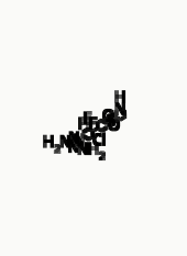 Nc1nc(N)n(-c2cc(Cl)c(-c3ccc(S(=O)(=O)C4CCCNC4)cc3)c(C(F)(F)F)c2)n1